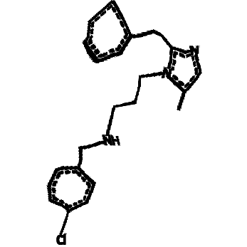 Cc1cnc(Cc2ccccc2)n1CCCNCc1ccc(Cl)cc1